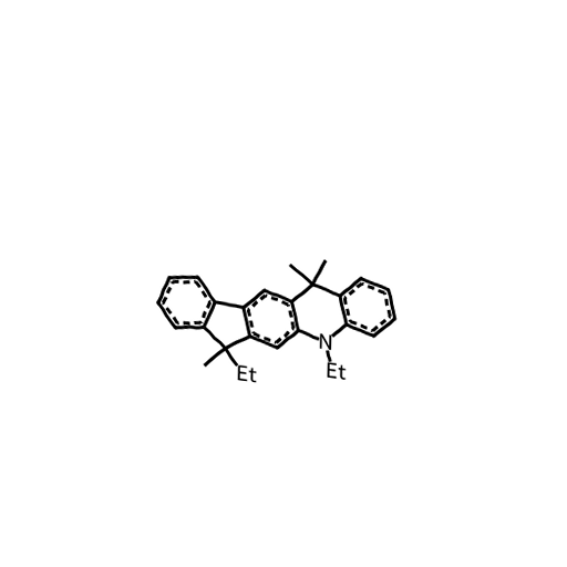 CCN1c2ccccc2C(C)(C)c2cc3c(cc21)C(C)(CC)c1ccccc1-3